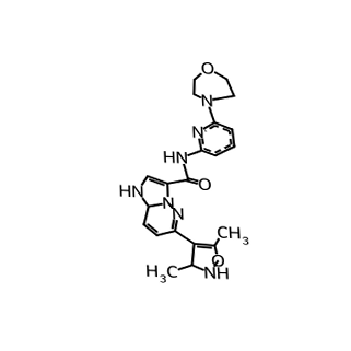 CC1=C(C2=NN3C(C(=O)Nc4cccc(N5CCOCC5)n4)=CNC3C=C2)C(C)NO1